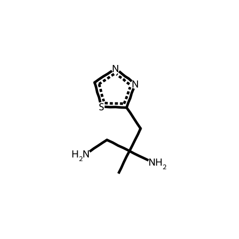 CC(N)(CN)Cc1nncs1